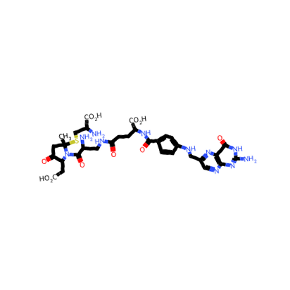 CC1(SCC(N)C(=O)O)CC(=O)C(CC(=O)O)N1C(=O)C(N)CNC(=O)CCC(NC(=O)c1ccc(NCc2cnc3nc(N)[nH]c(=O)c3n2)cc1)C(=O)O